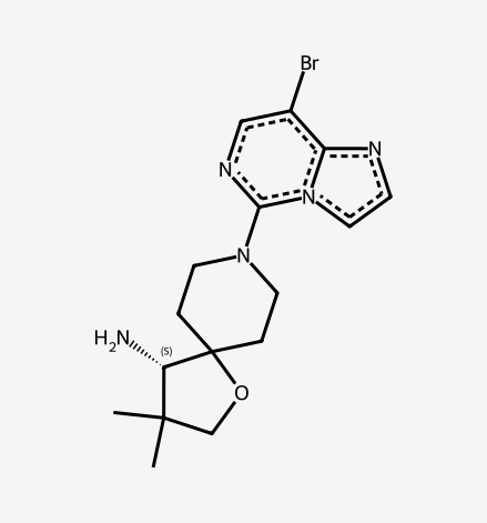 CC1(C)COC2(CCN(c3ncc(Br)c4nccn34)CC2)[C@H]1N